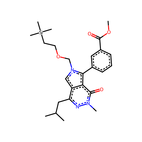 COC(=O)c1cccc(-c2c3c(=O)n(C)nc(CC(C)C)c3cn2COCC[Si](C)(C)C)c1